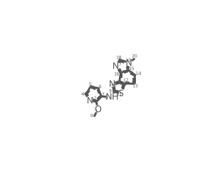 COc1ncccc1Nc1nc2c(ccc3c2ncn3C)s1